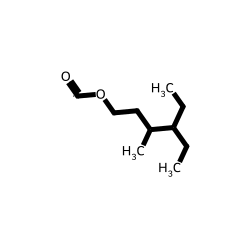 CCC(CC)C(C)CCO[C]=O